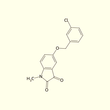 CN1C(=O)C(=O)c2cc(OCc3cccc(Cl)c3)ccc21